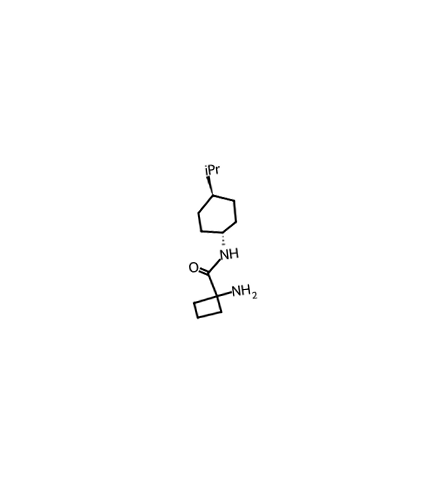 CC(C)[C@H]1CC[C@H](NC(=O)C2(N)CCC2)CC1